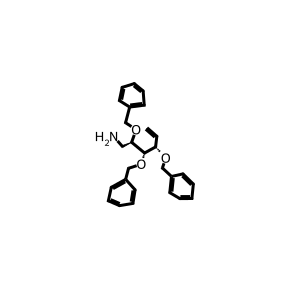 C=C[C@H](OCc1ccccc1)[C@H](OCc1ccccc1)[C@@H](CN)OCc1ccccc1